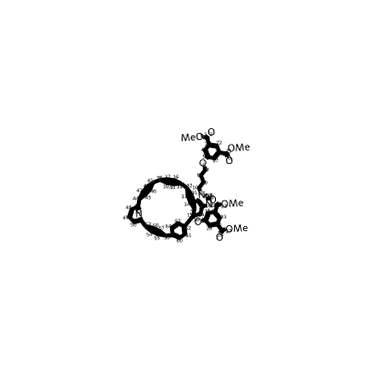 COC(=O)c1cc(OCCCCn2cc(CC3(Oc4cc(C(=O)OC)cc(C(=O)OC)c4)c4ccc(cc4)-c4ccc(cc4)-c4ccc(cc4)-c4cccc(n4)-c4ccc(cc4)-c4ccc3cc4)nn2)cc(C(=O)OC)c1